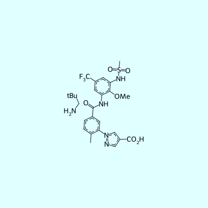 CC(C)(C)CN.COc1c(NC(=O)c2ccc(C)c(-n3cc(C(=O)O)cn3)c2)cc(C(F)(F)F)cc1NS(C)(=O)=O